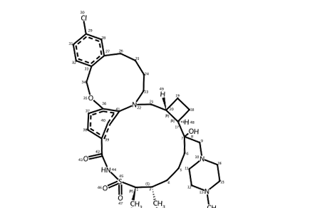 C[C@@H]1[C@@H](C)CCCC(O)(CN2CCN(C)CC2)[C@@H]2CC[C@H]2CN2CCCCc3cc(Cl)ccc3COc3ccc(cc32)C(=O)NS1(=O)=O